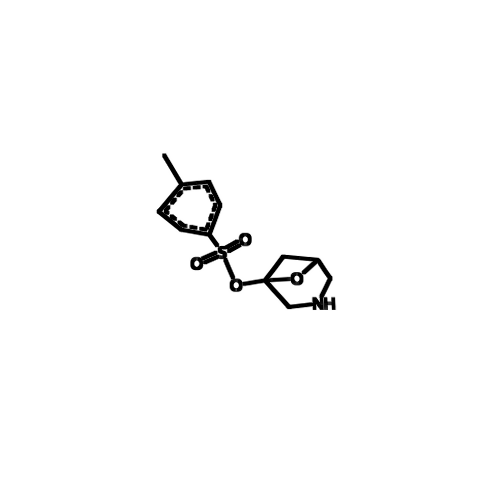 Cc1ccc(S(=O)(=O)OC23CNCC(C2)O3)cc1